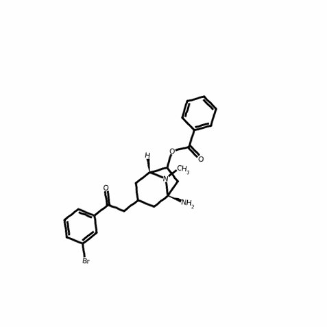 CN1[C@@H]2CC(CC(=O)c3cccc(Br)c3)C[C@@]1(N)CC2OC(=O)c1ccccc1